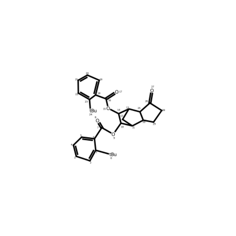 CC(C)(C)c1ccccc1C(=O)OC1C2CC(C1OC(=O)c1ccccc1C(C)(C)C)C1C(=O)CCC21